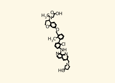 Cc1c(COc2ccc3c(c2)OCCC3N(C)CC(=O)O)cccc1-c1cccc(Nc2nccc3cc(CN4CC[C@@H](O)C4)cnc23)c1Cl